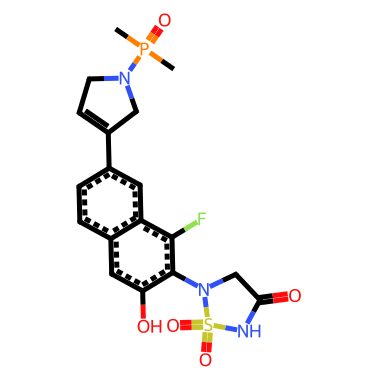 CP(C)(=O)N1CC=C(c2ccc3cc(O)c(N4CC(=O)NS4(=O)=O)c(F)c3c2)C1